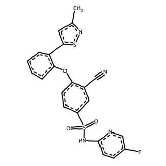 Cc1cc(-c2ccccc2Oc2ccc(S(=O)(=O)Nc3ccc(F)cn3)cc2C#N)sn1